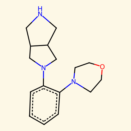 c1ccc(N2CC3CNCC3C2)c(N2CCOCC2)c1